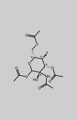 CC(=O)N[C@]1(O)C(OC(C)=O)O[C@H](COC(C)=O)[C@@H](F)[C@@H]1OC(C)=O